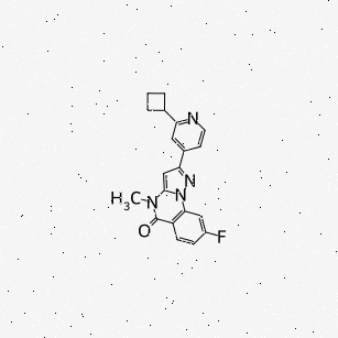 Cn1c(=O)c2ccc(F)cc2n2nc(-c3ccnc(C4CCC4)c3)cc12